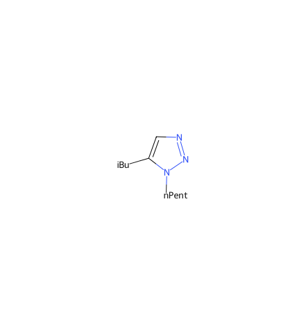 CCCCCn1nncc1C(C)CC